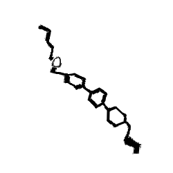 CC=CCCOCc1ccc(-c2ccc(C3CCC(CC=CC)CC3)cc2)cc1